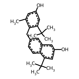 Cc1cc(O)cc(C(C)(C)C)c1Cc1ccc2c(C(C)(C)C)cc(O)cc2c1